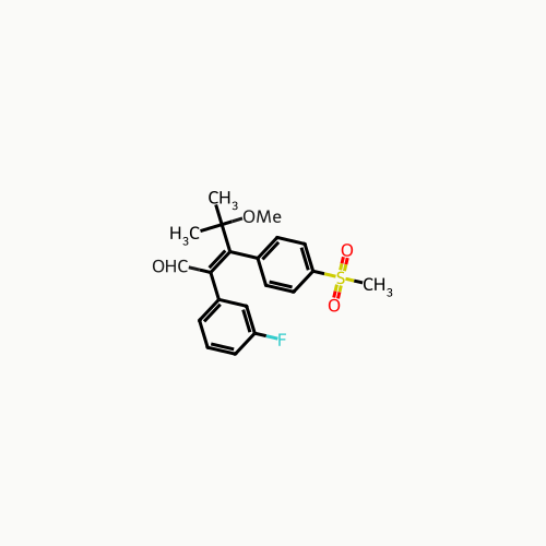 COC(C)(C)/C(=C(\C=O)c1cccc(F)c1)c1ccc(S(C)(=O)=O)cc1